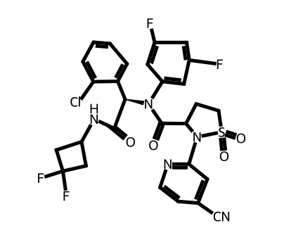 N#Cc1ccnc(N2C(C(=O)N(c3cc(F)cc(F)c3)[C@@H](C(=O)NC3CC(F)(F)C3)c3ccccc3Cl)CCS2(=O)=O)c1